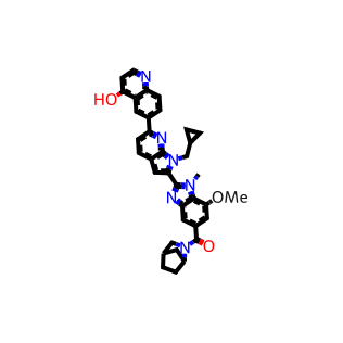 COc1cc(C(=O)N2CC3CCC2C3)cc2nc(-c3cc4ccc(-c5ccc6nccc(O)c6c5)nc4n3CC3CC3)n(C)c12